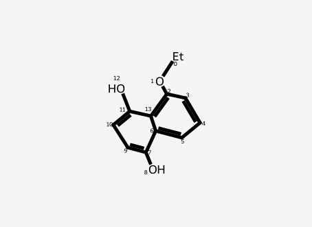 CCOc1cccc2c(O)ccc(O)c12